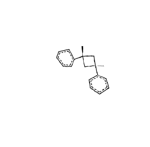 C[C@]1(c2ccccc2)C[C@](C)(c2ccccc2)C1